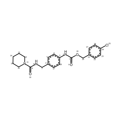 O=C(Nc1ccc(CNC(=O)N2CCCCC2)cc1)OCc1ccc(Cl)cc1